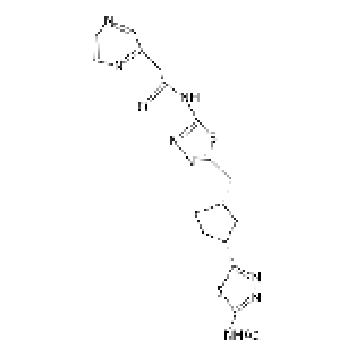 CC(=O)Nc1nnc([C@@H]2CC[C@H](Cc3nnc(NC(=O)Cc4cnccn4)s3)C2)s1